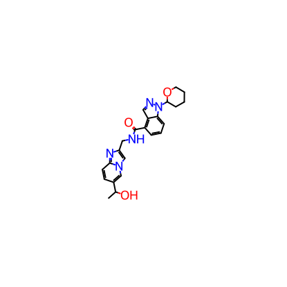 CC(O)c1ccc2nc(CNC(=O)c3cccc4c3cnn4C3CCCCO3)cn2c1